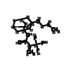 C=C(C(=O)OC12CC3CC(CC(OCSC)(C3)C1)C2)C(F)(F)F